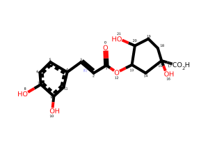 O=C(/C=C/c1ccc(O)c(O)c1)OC1CC(O)(C(=O)O)CCC1O